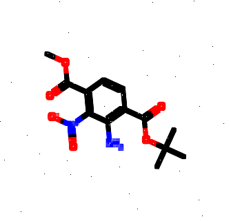 COC(=O)c1ccc(C(=O)OC(C)(C)C)c(N)c1[N+](=O)[O-]